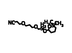 C[Si]1(C)CCCC(O[SiH2]COCCCOCCC#N)O1